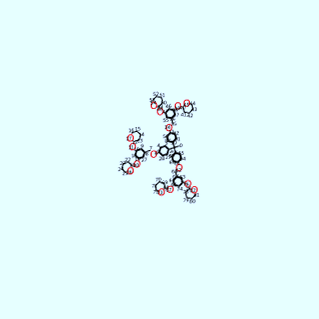 CC(c1ccc(OCc2cc(OC3CCCCO3)cc(OC3CCCCO3)c2)cc1)(c1ccc(OCc2cc(OC3CCCCO3)cc(OC3CCCCO3)c2)cc1)c1ccc(OCc2cc(OC3CCCCO3)cc(OC3CCCCO3)c2)cc1